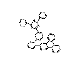 C1=CC(c2ccccc2-c2ccc3c4ccccc4c4ccccc4c3c2)CC(c2nc(-c3ccccc3)nc(-c3ccccc3)n2)=C1